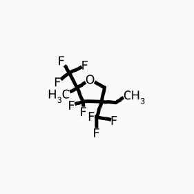 CCC1(C(F)(F)F)COC(C)(C(F)(F)F)C1(F)F